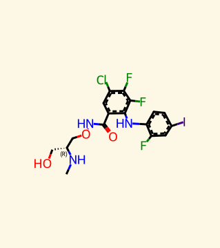 CN[C@H](CO)CONC(=O)c1cc(Cl)c(F)c(F)c1Nc1ccc(I)cc1F